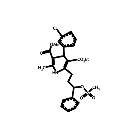 CCOC(=O)C1=C(CCC(OS(C)(=O)=O)c2ccccc2)NC(C)=C(C(=O)OC)C1c1cccc(Cl)c1